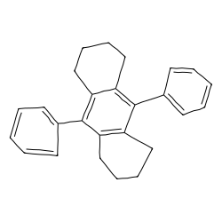 c1ccc(-c2c3c(c(-c4ccccc4)c4c2CCCC4)CCCC3)cc1